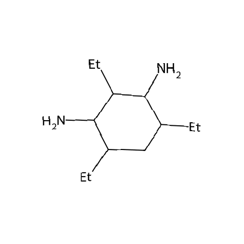 CCC1CC(CC)C(N)C(CC)C1N